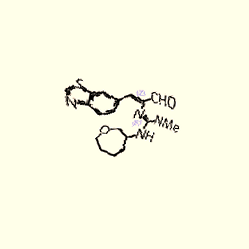 CN/C(=N\C(C=O)=C/c1ccc2ncsc2c1)NC1CCCCOC1